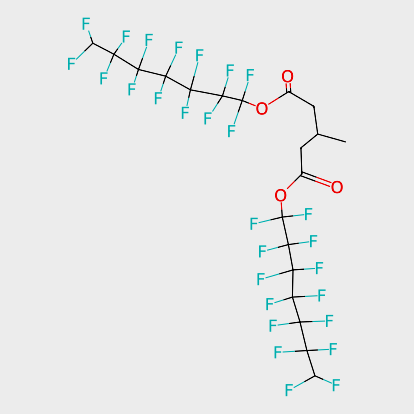 CC(CC(=O)OC(F)(F)C(F)(F)C(F)(F)C(F)(F)C(F)(F)C(F)(F)C(F)F)CC(=O)OC(F)(F)C(F)(F)C(F)(F)C(F)(F)C(F)(F)C(F)(F)C(F)F